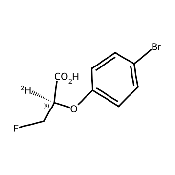 [2H][C@@](CF)(Oc1ccc(Br)cc1)C(=O)O